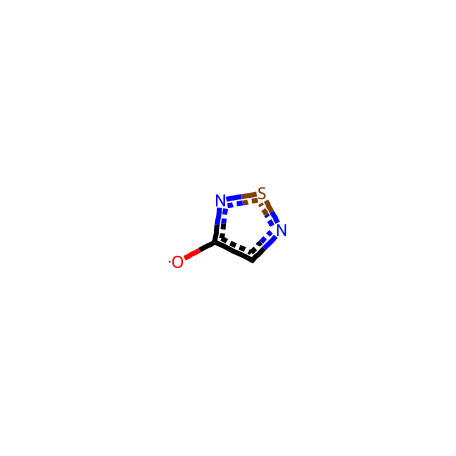 [O]c1cnsn1